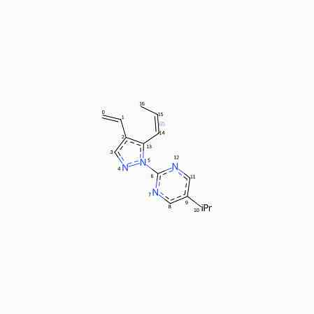 C=Cc1cnn(-c2ncc(C(C)C)cn2)c1/C=C\C